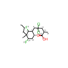 CCCC1(C)C(F)C(CC(Cl)(Cl)CC(C)C(=O)O)CC[C@H]1F